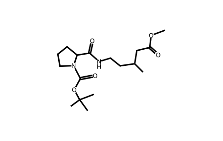 COC(=O)CC(C)CCNC(=O)C1CCCN1C(=O)OC(C)(C)C